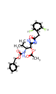 CC(=O)OC(c1noc(Cc2c(F)cccc2F)n1)[C@@H](NC(=O)OCc1ccccc1)C(C)C